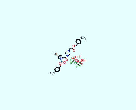 O=C(CN1CCN(C(=O)[C@@H]2C[C@H](S)CN2C(=O)OCc2ccc([N+](=O)[O-])cc2)CC1)OCc1ccc([N+](=O)[O-])cc1.O=S(=O)(O)C(F)(F)F.O=S(=O)(O)C(F)(F)F